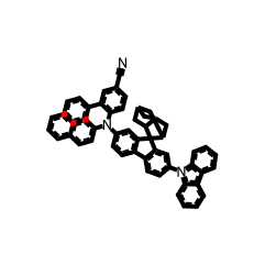 N#Cc1ccc(N(c2ccc3c(c2)C2(c4cc(-n5c6ccccc6c6ccccc65)ccc4-3)C3CC4CC(C3)C2C4)c2ccc3ccccc3c2)c(-c2ccccc2)c1